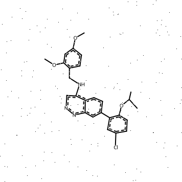 COc1ccc(CNc2cnnc3cc(-c4cc(Cl)ccc4OC(C)C)ccc23)c(OC)c1